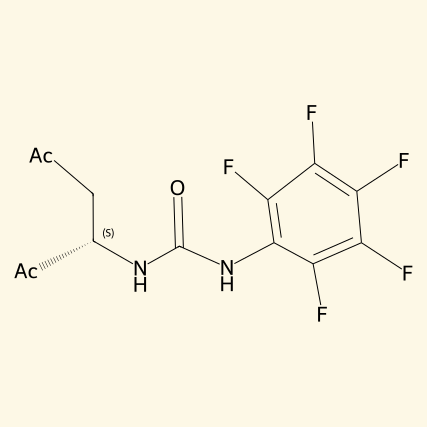 CC(=O)C[C@H](NC(=O)Nc1c(F)c(F)c(F)c(F)c1F)C(C)=O